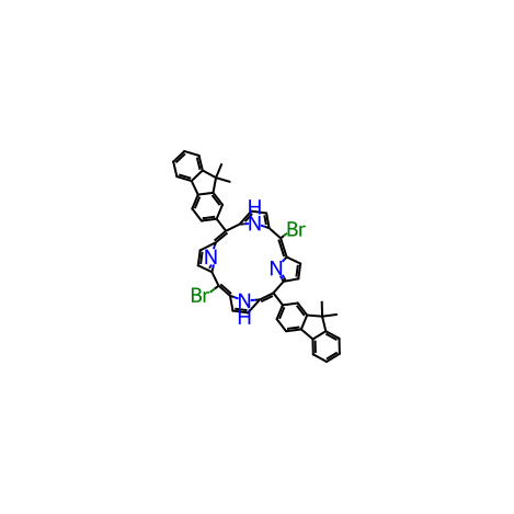 CC1(C)c2ccccc2-c2ccc(-c3c4nc(c(Br)c5ccc([nH]5)c(-c5ccc6c(c5)C(C)(C)c5ccccc5-6)c5nc(c(Br)c6ccc3[nH]6)C=C5)C=C4)cc21